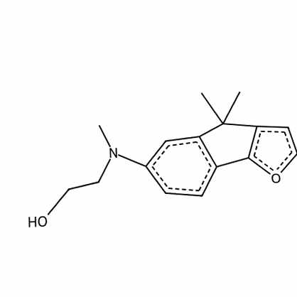 CN(CCO)c1ccc2c(c1)C(C)(C)c1ccoc1-2